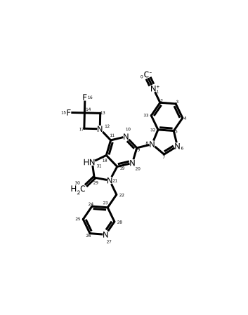 [C-]#[N+]c1ccc2ncn(-c3nc(N4CC(F)(F)C4)c4c(n3)N(Cc3cccnc3)C(=C)N4)c2c1